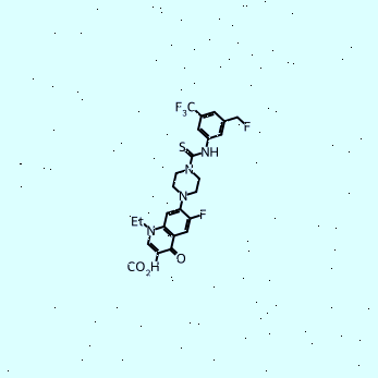 CCn1cc(C(=O)O)c(=O)c2cc(F)c(N3CCN(C(=S)Nc4cc(CF)cc(C(F)(F)F)c4)CC3)cc21